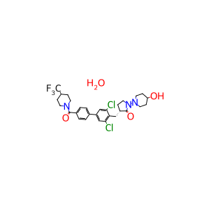 O.O=C(c1ccc(-c2cc(Cl)c(C[C@@H]3CCN(N4CCC(O)CC4)C3=O)c(Cl)c2)cc1)N1CCC(C(F)(F)F)CC1